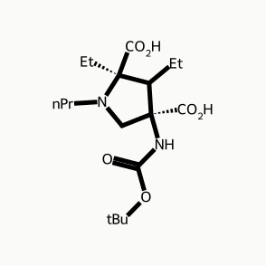 CCCN1C[C@@](NC(=O)OC(C)(C)C)(C(=O)O)C(CC)[C@]1(CC)C(=O)O